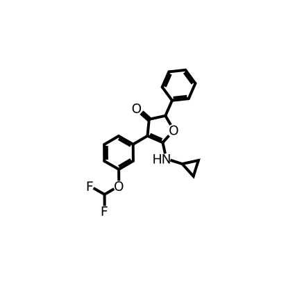 O=C1C(c2cccc(OC(F)F)c2)=C(NC2CC2)OC1c1ccccc1